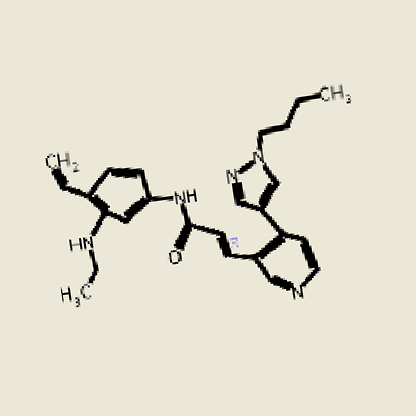 C=Cc1ccc(NC(=O)/C=C/c2cnccc2-c2cnn(CCCC)c2)cc1NCC